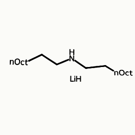 CCCCCCCCCCNCCCCCCCCCC.[LiH]